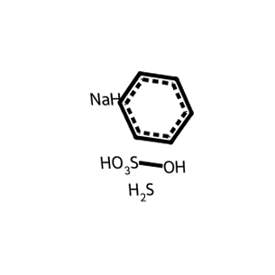 O=S(=O)(O)O.S.[NaH].c1ccccc1